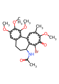 COc1cc2c(c(OC)c1OC)-c1cc(C)c(OC)c(=O)c(Br)c1[C@@H](NC(C)=O)CC2